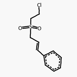 O=S(=O)(CC=Cc1ccccc1)CCCl